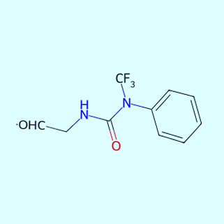 O=[C]CNC(=O)N(c1ccccc1)C(F)(F)F